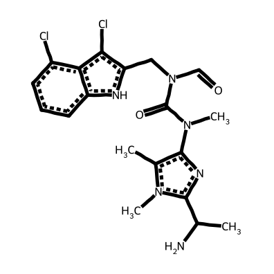 Cc1c(N(C)C(=O)N(C=O)Cc2[nH]c3cccc(Cl)c3c2Cl)nc(C(C)N)n1C